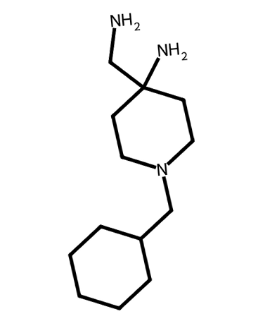 NCC1(N)CCN(CC2CCCCC2)CC1